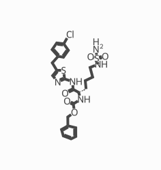 NS(=O)(=O)NCCCC[C@H](NC(=O)OCc1ccccc1)C(=O)Nc1ncc(Cc2ccc(Cl)cc2)s1